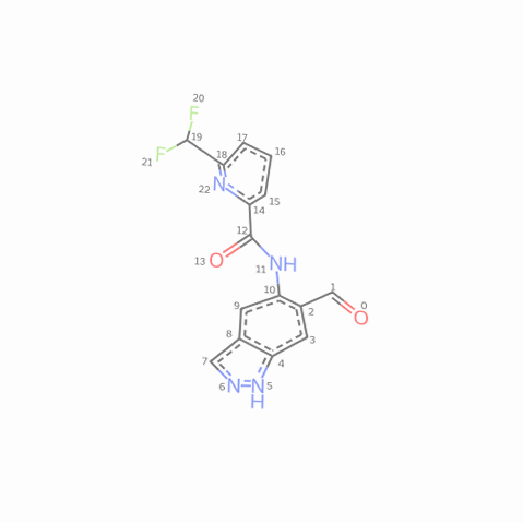 O=Cc1cc2[nH]ncc2cc1NC(=O)c1cccc(C(F)F)n1